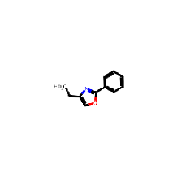 O=C(O)Cc1coc(-c2ccccc2)n1